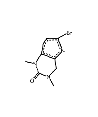 CN1Cc2nc(Br)ccc2N(C)C1=O